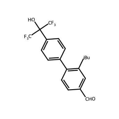 CCC(C)c1cc(C=O)ccc1-c1ccc(C(O)(C(F)(F)F)C(F)(F)F)cc1